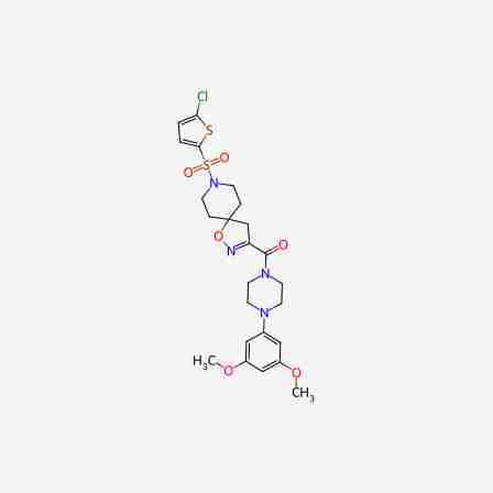 COc1cc(OC)cc(N2CCN(C(=O)C3=NOC4(CCN(S(=O)(=O)c5ccc(Cl)s5)CC4)C3)CC2)c1